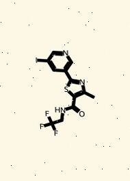 Cc1nc(-c2cncc(I)c2)sc1C(=O)NCC(F)(F)F